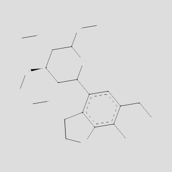 CCc1cc(C2OC(OC)[C@@H](OC)[C@H](OC)[C@H]2OC)c2c(c1C)OCC2